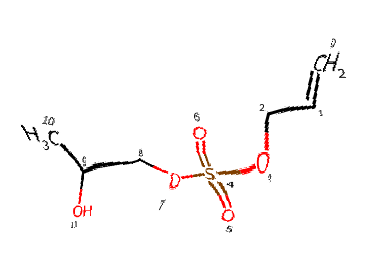 C=CCOS(=O)(=O)OCC(C)O